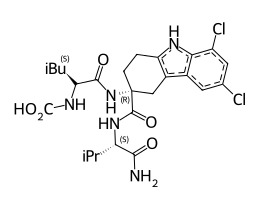 CC[C@H](C)C(NC(=O)O)C(=O)N[C@]1(C(=O)N[C@H](C(N)=O)C(C)C)CCc2[nH]c3c(Cl)cc(Cl)cc3c2C1